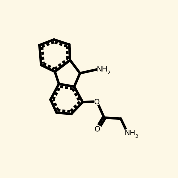 NCC(=O)Oc1cccc2c1C(N)c1ccccc1-2